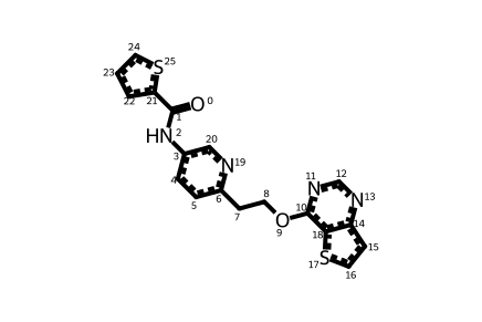 O=C(Nc1ccc(CCOc2ncnc3ccsc23)nc1)c1cccs1